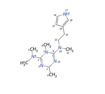 CC1N=C(N(C)C)N(C)C(N(C)CCc2cc[nH]c2)=N1